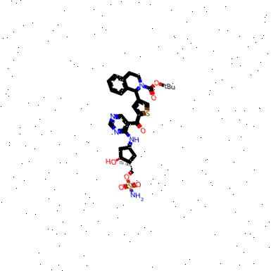 CC(C)(C)OC(=O)N1CCc2ccccc2C1c1csc(C(=O)c2cncnc2NC2C[C@H](COS(N)(=O)=O)[C@@H](O)C2)c1